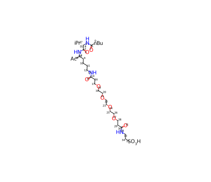 CCCCC(=O)N[C@H](C(=O)N[C@@H](CCCCNC(=O)CCOCCOCCOCCOCCC(=O)NCCS(=O)(=O)O)C(C)=O)C(C)C